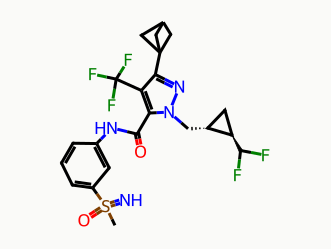 CS(=N)(=O)c1cccc(NC(=O)c2c(C(F)(F)F)c(C34CC(C3)C4)nn2C[C@@H]2C[C@H]2C(F)F)c1